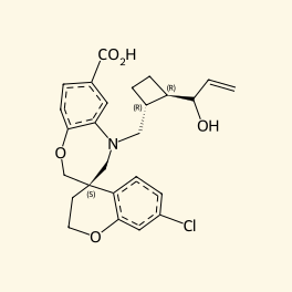 C=CC(O)[C@@H]1CC[C@H]1CN1C[C@@]2(CCOc3cc(Cl)ccc32)COc2ccc(C(=O)O)cc21